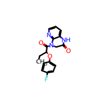 CCC(Oc1ccc(F)cc1)C(=O)N1CC(=O)Nc2cccnc21